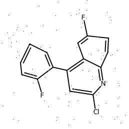 Fc1ccc2nc(Cl)cc(-c3ccccc3F)c2c1